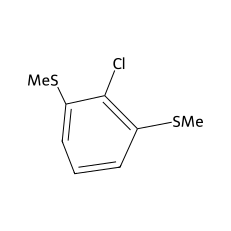 CSc1cccc(SC)c1Cl